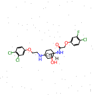 O=C(COc1ccc(Cl)c(F)c1)NC12CCC(NCCOc3ccc(Cl)c(Cl)c3)(CC1)C[C@@H]2O